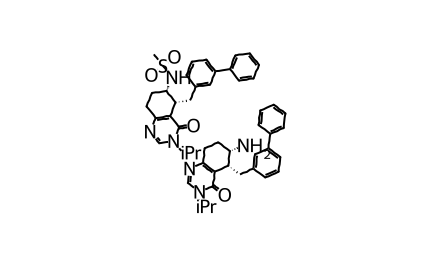 CC(C)n1cnc2c(c1=O)[C@@H](Cc1cccc(-c3ccccc3)c1)[C@@H](N)CC2.CC(C)n1cnc2c(c1=O)[C@@H](Cc1cccc(-c3ccccc3)c1)[C@@H](NS(C)(=O)=O)CC2